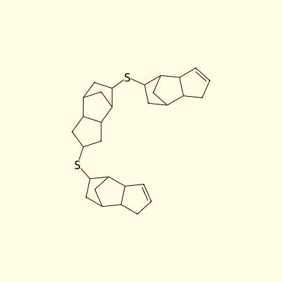 C1=CC2C(C1)C1CC(SC3CC4C5CC(SC6CC7CC6C6C=CCC76)C(C5)C4C3)C2C1